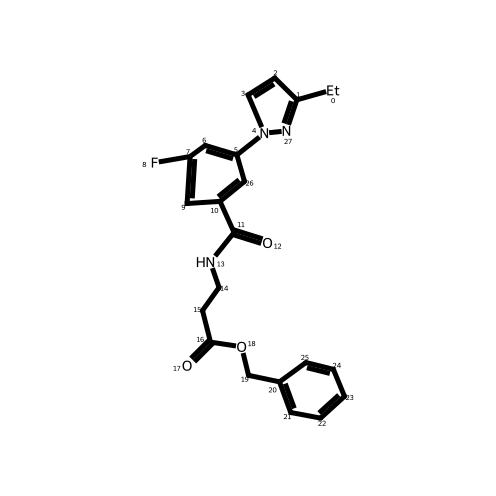 CCc1ccn(-c2cc(F)cc(C(=O)NCCC(=O)OCc3ccccc3)c2)n1